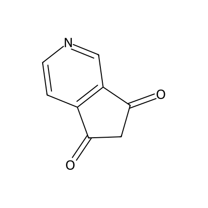 O=C1CC(=O)c2cnccc21